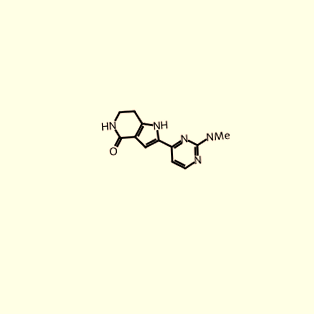 CNc1nccc(-c2cc3c([nH]2)CCNC3=O)n1